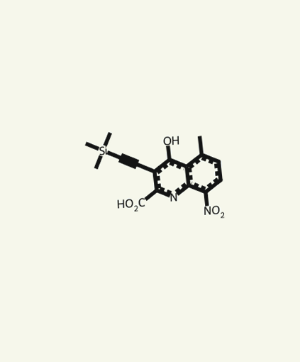 Cc1ccc([N+](=O)[O-])c2nc(C(=O)O)c(C#C[Si](C)(C)C)c(O)c12